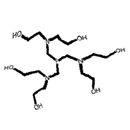 OCCN(CCO)CP(CN(CCO)CCO)CN(CCO)CCO